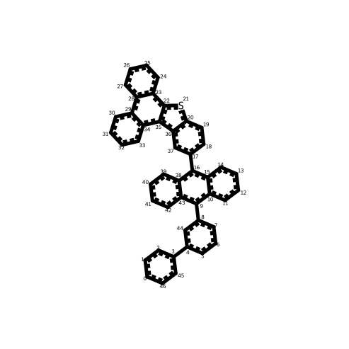 c1ccc(-c2cccc(-c3c4ccccc4c(-c4ccc5sc6c7ccccc7c7ccccc7c6c5c4)c4ccccc34)c2)cc1